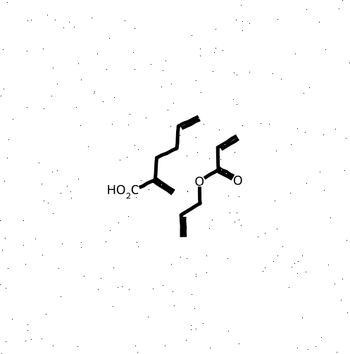 C=CCCC(=C)C(=O)O.C=CCOC(=O)C=C